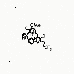 COc1cn(Cc2nccc(OCC(F)(F)F)c2C)nc(-c2ccnn2-c2ccccc2)c1=O